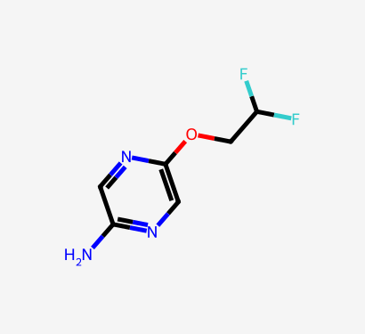 Nc1cnc(OCC(F)F)cn1